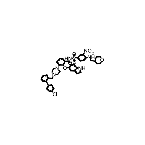 O=C(NS(=O)(=O)c1ccc(NCC2CCOCC2)c([N+](=O)[O-])c1)c1cccc(N2CCN(Cc3ccccc3-c3ccc(Cl)cc3)CC2)c1Oc1ccc2[nH]ccc2c1